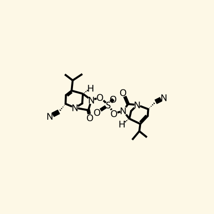 CC(C)C1=C[C@@H](C#N)N2C[C@@H]1N(OS(=O)(=O)ON1C(=O)N3C[C@H]1C(C(C)C)=C[C@H]3C#N)C2=O